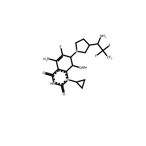 COC1c2c(c(=O)[nH]c(=O)n2C2CC2)C(N)=C(F)C1N1CCC(C(N)C(F)(F)C(F)(F)F)C1